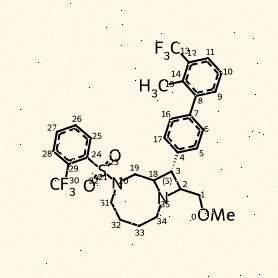 COCC1[C@@H](c2ccc(-c3cccc(C(F)(F)F)c3C)cc2)C2CN(S(=O)(=O)c3ccccc3C(F)(F)F)CCCCN12